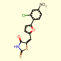 O=C1NC(=S)S/C1=C/c1ccc(-c2ccc([N+](=O)[O-])cc2Cl)o1